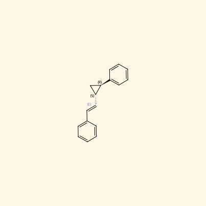 C(=C\[C@@H]1C[C@H]1c1ccccc1)/c1ccccc1